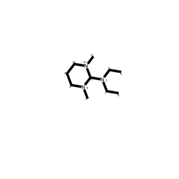 CCN(CC)C1N(C)CCCN1C